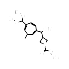 CCOC(OCC)C1=CC(C)C=C(C(O)C2CN(C(=O)OC(C)(C)C)C2)C=C1